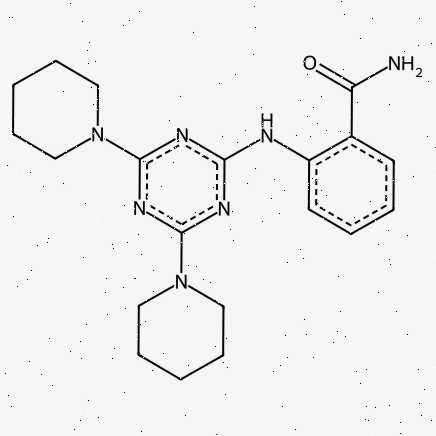 NC(=O)c1ccccc1Nc1nc(N2CCCCC2)nc(N2CCCCC2)n1